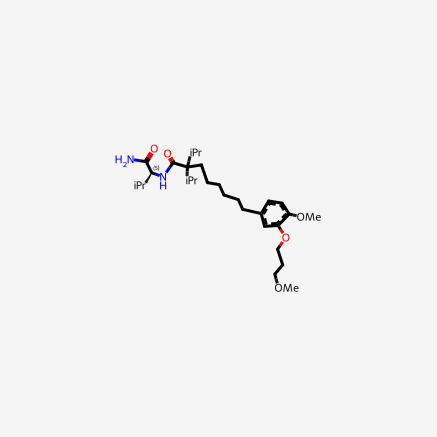 COCCCOc1cc(CCCCCCC(C(=O)N[C@H](C(N)=O)C(C)C)(C(C)C)C(C)C)ccc1OC